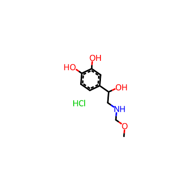 COCNCC(O)c1ccc(O)c(O)c1.Cl